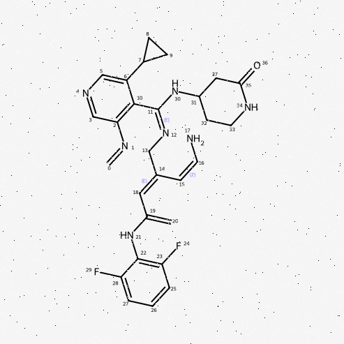 C=Nc1cncc(C2CC2)c1/C(=N\CC(/C=C\N)=C/C(=C)Nc1c(F)cccc1F)NC1CCNC(=O)C1